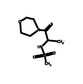 [CH2]C(NS(C)(=O)=O)C(=S)N1CCOCC1